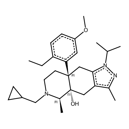 CCc1ccc(OC)cc1[C@]12CCN(CC3CC3)[C@H](C)[C@]1(O)Cc1c(C)nn(C(C)C)c1C2